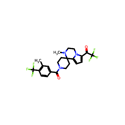 Cc1cc(C(=O)N2CCC3(CC2)c2ccc(C(=O)C(F)(F)F)n2CCN3C)ccc1C(F)(F)F